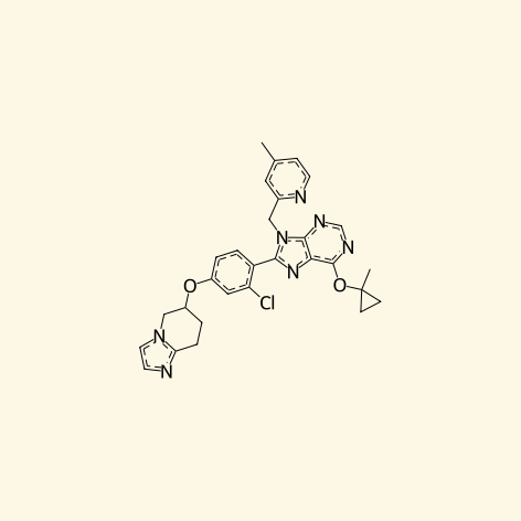 Cc1ccnc(Cn2c(-c3ccc(OC4CCc5nccn5C4)cc3Cl)nc3c(OC4(C)CC4)ncnc32)c1